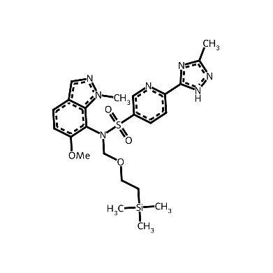 COc1ccc2cnn(C)c2c1N(COCC[Si](C)(C)C)S(=O)(=O)c1ccc(-c2nc(C)n[nH]2)nc1